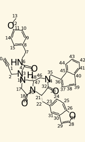 C#CCN(C(=O)NCc1ccc(OC)cc1)N1CC(=O)N2[C@@H](Cc3ccc4occc4c3)C(=O)N(Cc3cccc4ccccc34)C[C@@H]21